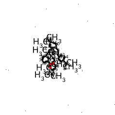 CC(C)c1ccc(N(Cc2ccc(N(C)C)cc2)C(=O)N(Cc2ccc(N(C)C)cc2)c2c(C(C)C)cccc2C(C)C)cc1